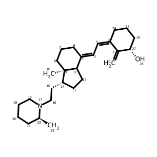 C=C1/C(=C\C=C2/CCC[C@@]3(C)C2CC[C@@H]3CCN2CCCC[C@@H]2C)CCC[C@@H]1O